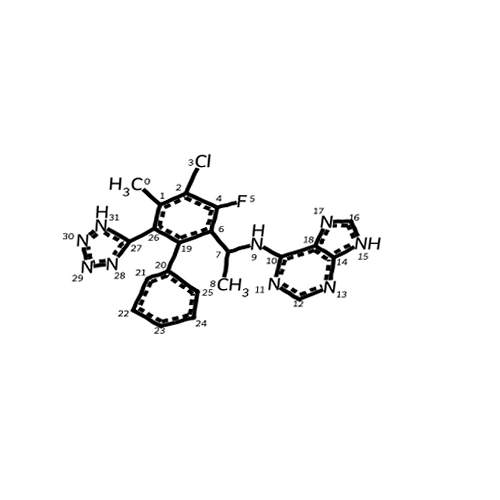 Cc1c(Cl)c(F)c(C(C)Nc2ncnc3[nH]cnc23)c(-c2ccccc2)c1-c1nnn[nH]1